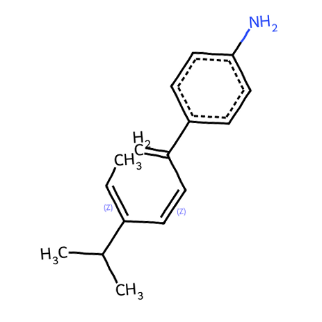 C=C(/C=C\C(=C/C)C(C)C)c1ccc(N)cc1